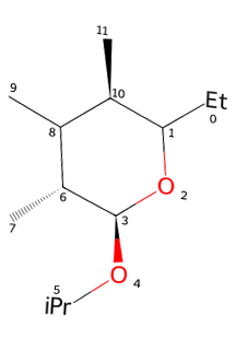 CCC1O[C@@H](OC(C)C)[C@H](C)C(C)[C@H]1C